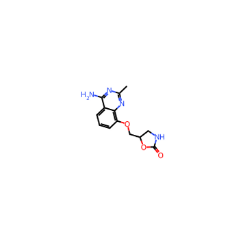 Cc1nc(N)c2cccc(OCC3CNC(=O)O3)c2n1